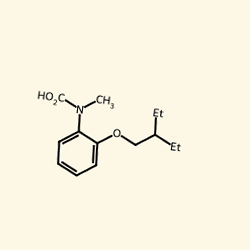 CCC(CC)COc1ccccc1N(C)C(=O)O